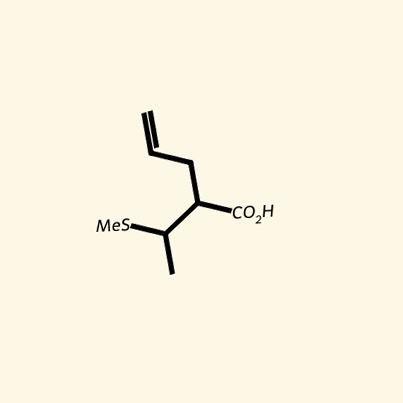 C=CCC(C(=O)O)C(C)SC